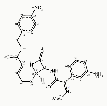 CO/N=C(\C(=O)NC1C(=O)N2C(C(=O)OCc3ccc([N+](=O)[O-])cc3)=CCS[C@H]12)c1cc(N)ccn1